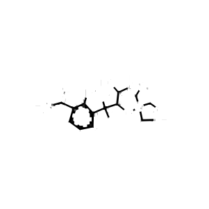 CC[Si](CC)(CC)OC(C(C)C)C(F)(F)c1cccc([C@@H](C)N)c1F